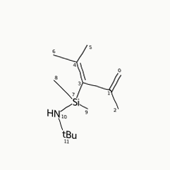 C=C(C)C(=C(C)C)[Si](C)(C)NC(C)(C)C